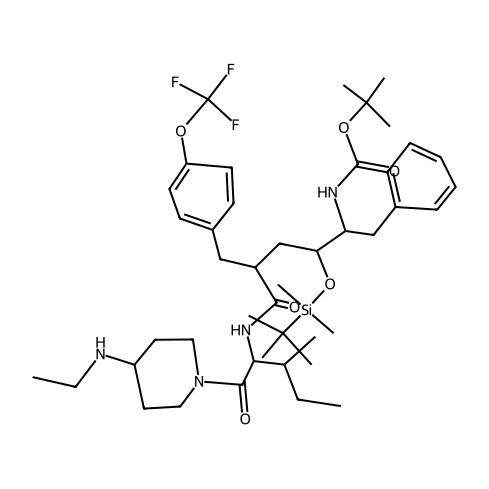 CCNC1CCN(C(=O)C(NC(=O)C(Cc2ccc(OC(F)(F)F)cc2)CC(O[Si](C)(C)C(C)(C)C)C(Cc2ccccc2)NC(=O)OC(C)(C)C)C(C)CC)CC1